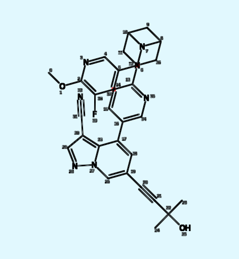 COc1ncc(CN2C3CC2CN(c2ccc(-c4cc(C#CC(C)(C)O)cn5ncc(C#N)c45)cn2)C3)cc1F